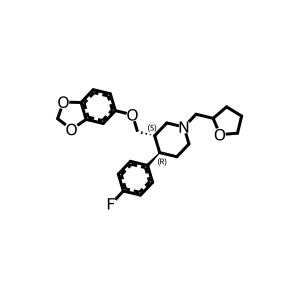 Fc1ccc([C@@H]2CCN(CC3CCCO3)C[C@H]2COc2ccc3c(c2)OCO3)cc1